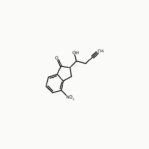 C#CCC(O)C1Cc2c(cccc2[N+](=O)[O-])C1=O